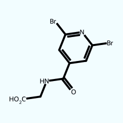 O=C(O)CNC(=O)c1cc(Br)nc(Br)c1